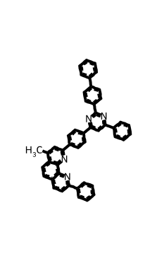 Cc1cc(-c2ccc(-c3cc(-c4ccccc4)nc(-c4ccc(-c5ccccc5)cc4)n3)cc2)nc2c1ccc1ccc(-c3ccccc3)nc12